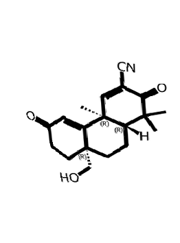 CC1(C)C(=O)C(C#N)=C[C@]2(C)C3=CC(=O)CC[C@]3(CO)CC[C@@H]12